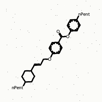 CCCCCc1ccc(OC(=O)c2ccc(OCC=CC3CCC(CCCCC)CC3)cc2)cc1